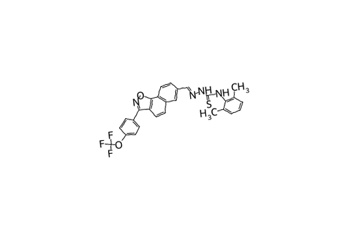 Cc1cccc(C)c1NC(=S)NN=Cc1ccc2c(ccc3c(-c4ccc(OC(F)(F)F)cc4)noc32)c1